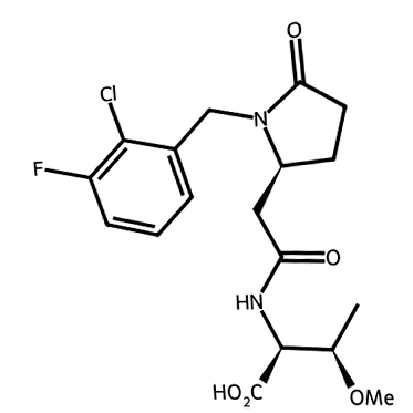 CO[C@H](C)[C@H](NC(=O)C[C@@H]1CCC(=O)N1Cc1cccc(F)c1Cl)C(=O)O